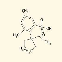 CC[Si](CC)(CC)c1c(C)cc(C)cc1S(=O)(=O)O